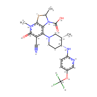 CC1Sc2c(c(N3CC[C@@H](Nc4ccc(OC(F)(F)F)cn4)[C@@H](C)C3)c(C#N)c(=O)n2C)N1C(=O)O